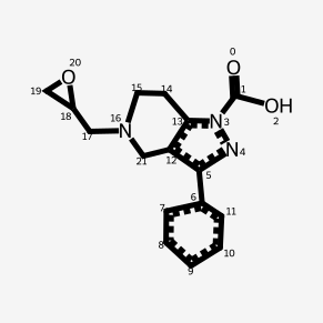 O=C(O)n1nc(-c2ccccc2)c2c1CCN(CC1CO1)C2